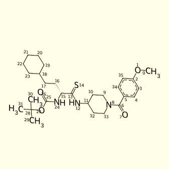 COc1ccc(C(=O)N2CCC(NC(=S)[C@@H](CCC3CCCCC3)NC(=O)OC(C)(C)C)CC2)cc1